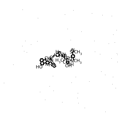 Cc1ncsc1-c1ccc([C@H](C)NC(=O)[C@@H]2C[C@@H](O)CN2C(=O)[C@H](c2cc(N3CC[C@@H]4CN(CCOc5nc(N6CC7CCC(C6)N7)c6cnc7c(c6n5)C(C)c5cccc6cc(O)cc-7c56)CC[C@@H]43)no2)C(C)C)cc1